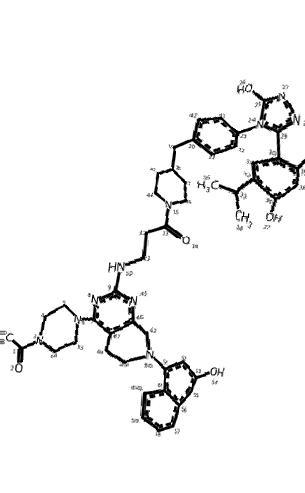 CC(=O)N1CCN(c2nc(NCCC(=O)N3CCC(Cc4ccc(-n5c(O)nnc5-c5cc(C(C)C)c(O)cc5O)cc4)CC3)nc3c2CCN(c2cc(O)cc4ccccc24)C3)CC1